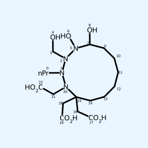 CCCN1N(CO)N(O)C(O)CCCCCCC(CC(=O)O)(CC(=O)O)N1CC(=O)O